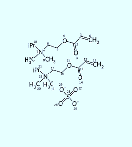 C=CC(=O)OCC[N+](C)(C)C(C)C.C=CC(=O)OCC[N+](C)(C)C(C)C.O=S(=O)([O-])[O-]